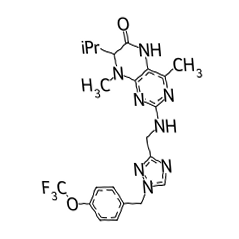 Cc1nc(NCc2ncn(Cc3ccc(OC(F)(F)F)cc3)n2)nc2c1NC(=O)C(C(C)C)N2C